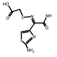 [NH]C(=O)/C(=N/OCC(=O)O)c1csc(N)n1